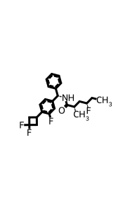 CC[C@H](F)C[C@H](C)C(=O)N[C@@H](c1ccccc1)c1ccc(C2CC(F)(F)C2)c(F)c1